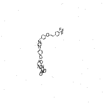 O=[N+]([O-])c1cn2c(n1)O[C@@H](COc1ccc(N3CCN(Cc4ccc(OCC=Cc5ccc(C(F)(F)F)cc5)cc4)CC3)cc1)CC2